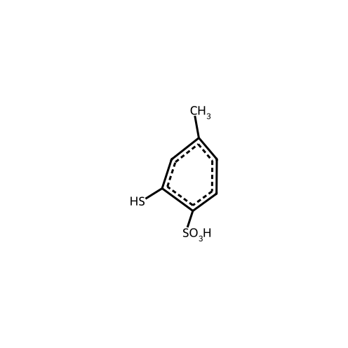 Cc1ccc(S(=O)(=O)O)c(S)c1